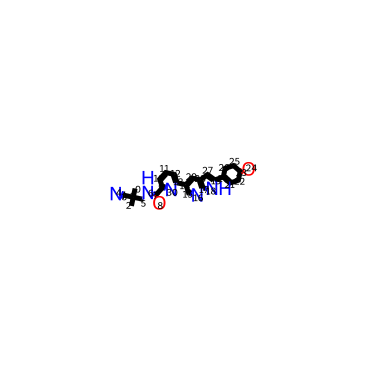 CC(C)(C#N)CNC(=O)c1cccc(-c2cnc3[nH]c(C4=CCC(=O)CC4)cc3c2)n1